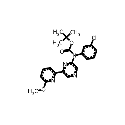 COc1cccc(-c2cncc(N(C(=O)OC(C)(C)C)c3cccc(Cl)c3)n2)n1